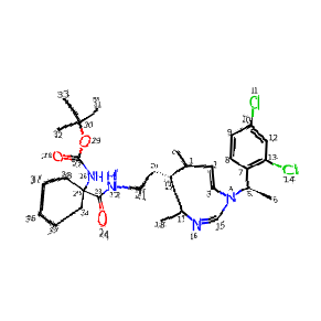 CC1/C=C/N([C@H](C)c2ccc(Cl)cc2Cl)/C=N\C(C)[C@@H]1CCNC(=O)C1(NC(=O)OC(C)(C)C)CCCCC1